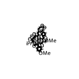 COC[C@H](NC(=O)C1(C(F)(F)F)CCCC1)C(=O)N[C@H](C(=O)N[C@H](C(=O)C(F)(F)C(=O)NCCN1CCS(=O)(=O)CC1)C(C)C)c1ccc(OC)cc1